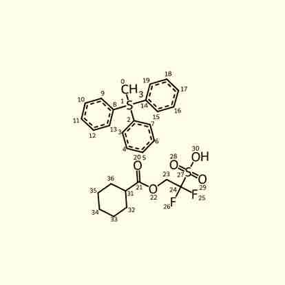 CS(c1ccccc1)(c1ccccc1)c1ccccc1.O=C(OCC(F)(F)S(=O)(=O)O)C1CCCCC1